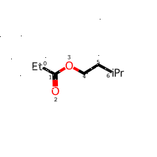 CCC(=O)O[CH]CC(C)C